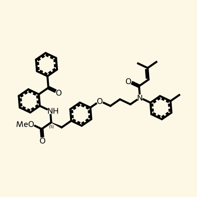 COC(=O)[C@H](Cc1ccc(OCCCN(C(=O)C=C(C)C)c2cccc(C)c2)cc1)Nc1ccccc1C(=O)c1ccccc1